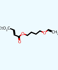 C=COCCCCOC(=O)C=CC(=O)OCC